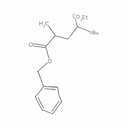 CCCCC(CC(C)C(=O)OCc1ccccc1)C(=O)OCC